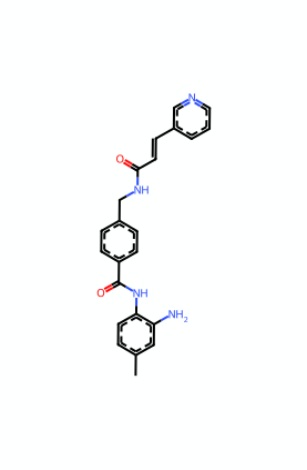 Cc1ccc(NC(=O)c2ccc(CNC(=O)/C=C/c3cccnc3)cc2)c(N)c1